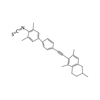 Cc1cc2c(c(C)c1C#Cc1ccc(-c3cc(C)c(N=C=S)c(C)c3)cc1)CCC(C)C2